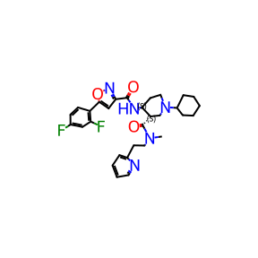 CN(CCc1ccccn1)C(=O)[C@H]1CN(C2CCCCC2)CC[C@@H]1NC(=O)c1cc(-c2ccc(F)cc2F)on1